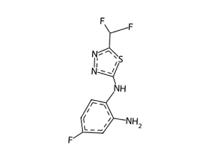 Nc1cc(F)ccc1Nc1nnc(C(F)F)s1